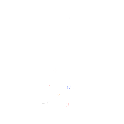 CP(=O)(O)NC(=O)Cc1ccc(I)cc1